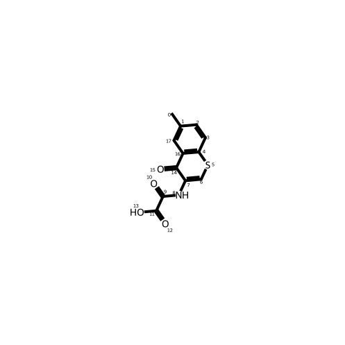 Cc1ccc2scc(NC(=O)C(=O)O)c(=O)c2c1